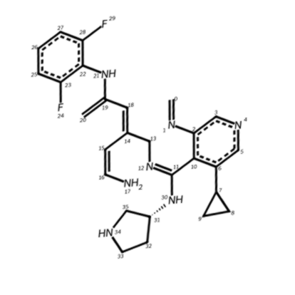 C=Nc1cncc(C2CC2)c1/C(=N\CC(/C=C\N)=C/C(=C)Nc1c(F)cccc1F)N[C@@H]1CCNC1